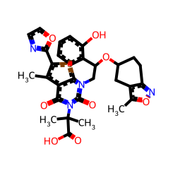 Cc1onc2c1CC(OC(Cn1c(=O)n(C(C)(C)C(=O)O)c(=O)c3c(C)c(-c4ncco4)sc31)c1ccccc1O)CC2